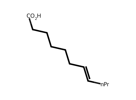 CCCC=CCCCCCC(=O)O